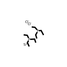 CCP(CC)CC.CCP(CC)CC.[Cl-].[Cl-].[Ti+2]